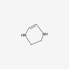 C1=CNCCN1